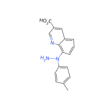 Cc1ccc(N(N)c2cccc3cc(C(=O)O)cnc23)cc1